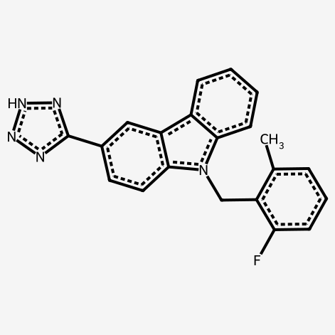 Cc1cccc(F)c1Cn1c2ccccc2c2cc(-c3nn[nH]n3)ccc21